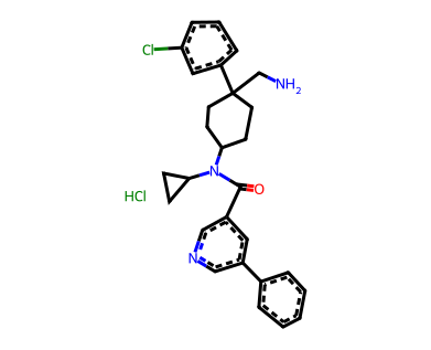 Cl.NCC1(c2cccc(Cl)c2)CCC(N(C(=O)c2cncc(-c3ccccc3)c2)C2CC2)CC1